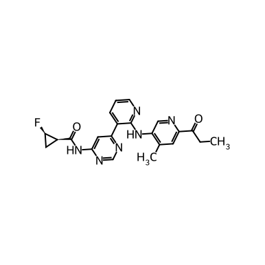 CCC(=O)c1cc(C)c(Nc2ncccc2-c2cc(NC(=O)[C@H]3C[C@H]3F)ncn2)cn1